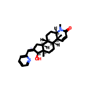 CN1C(=O)C=C[C@]2(C)[C@H]3CC[C@]4(C)[C@@H](O)/C(=C\c5ccccn5)C[C@H]4[C@@H]3CC[C@@H]12